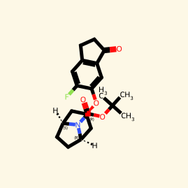 CC(C)(C)OC(=O)N1[C@@H]2CC[C@H]1C[C@@H](Oc1cc3c(cc1F)CCC3=O)C2